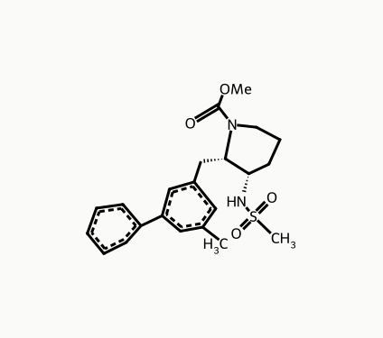 COC(=O)N1CCC[C@H](NS(C)(=O)=O)[C@@H]1Cc1cc(C)cc(-c2ccccc2)c1